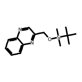 CC(C)(C)[Si](C)(C)OCc1cnc2ccccc2n1